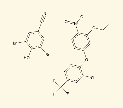 CCOc1cc(Oc2ccc(C(F)(F)F)cc2Cl)ccc1[N+](=O)[O-].N#Cc1cc(Br)c(O)c(Br)c1